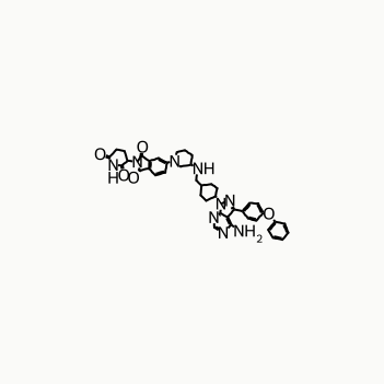 Nc1ncnc2c1c(-c1ccc(Oc3ccccc3)cc1)nn2C1CCC(CNC2CCCN(c3ccc4c(c3)C(=O)N(C3CCC(=O)NC3=O)C4=O)C2)CC1